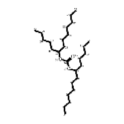 CCCCCCCC(CCCCC)OC(=O)OC(CCCCC)CCCCCCC